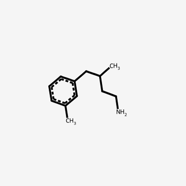 Cc1cccc(CC(C)CCN)c1